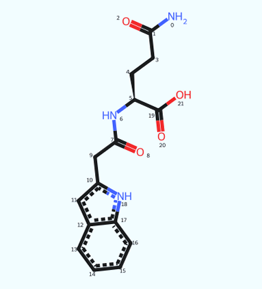 NC(=O)CC[C@H](NC(=O)Cc1cc2ccccc2[nH]1)C(=O)O